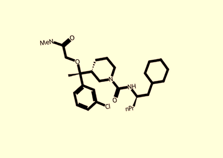 CCC[C@H](CC1CCCCC1)NC(=O)N1CCC[C@@H]([C@@](C)(OCC(=O)NC)c2cccc(Cl)c2)C1